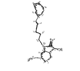 CC(C)c1cccc2c(C#N)c(=O)n(CCCCCc3ccccc3)c-2c1